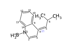 BN1C=C/C(=C/C(C)C)c2ccccc21